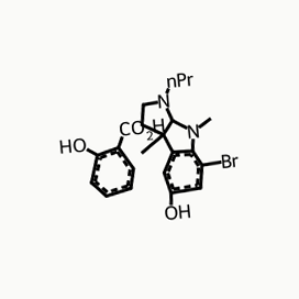 CCCN1CCC2(C)c3cc(O)cc(Br)c3N(C)C12.O=C(O)c1ccccc1O